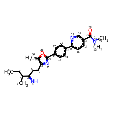 CCC(C)C(=N)CCc1nc(-c2ccc(-c3ccc(C(=O)N(C)C)cn3)cc2)oc1C